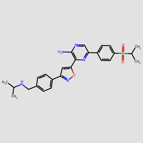 CC(C)NCc1ccc(-c2cc(-c3nc(-c4ccc(S(=O)(=O)C(C)C)cc4)cnc3N)on2)cc1